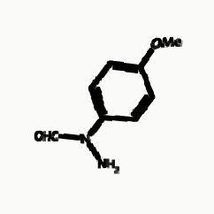 COc1ccc(N(N)C=O)cc1